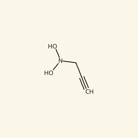 C#CCN(O)O